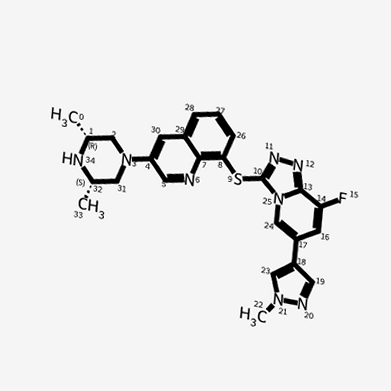 C[C@@H]1CN(c2cnc3c(Sc4nnc5c(F)cc(-c6cnn(C)c6)cn45)cccc3c2)C[C@H](C)N1